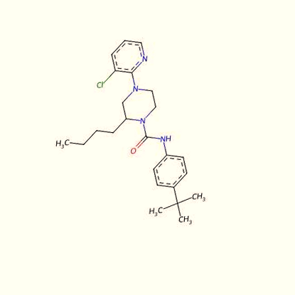 CCCCC1CN(c2ncccc2Cl)CCN1C(=O)Nc1ccc(C(C)(C)C)cc1